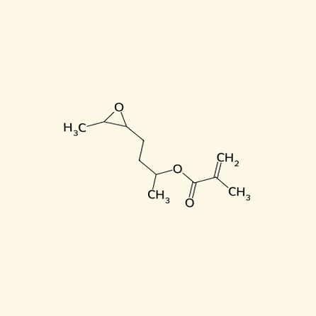 C=C(C)C(=O)OC(C)CCC1OC1C